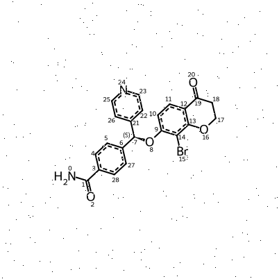 NC(=O)c1ccc([C@H](Oc2ccc3c(c2Br)OCCC3=O)c2ccncc2)cc1